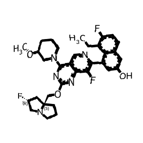 CCc1c(F)ccc2cc(O)cc(-c3ncc4c(N5CCCC(OC)C5)nc(OC[C@@]56CCCN5C[C@H](F)C6)nc4c3F)c12